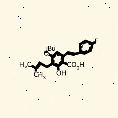 CCC(C)Oc1cc(C=Cc2ccc(F)cc2)c(C(=O)O)c(O)c1CC=C(C)C